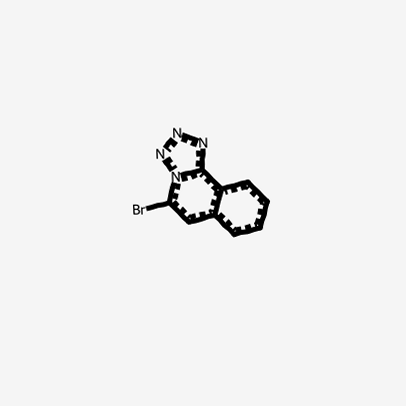 Brc1cc2ccccc2c2nnnn12